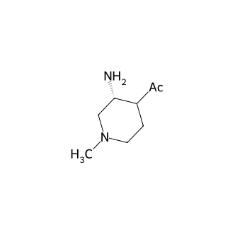 CC(=O)C1CCN(C)C[C@@H]1N